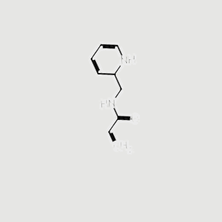 C=CC(=O)NCC1C=CC=CN1